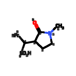 CCCC(C1CCN(C)C1=O)S(=O)(=O)O